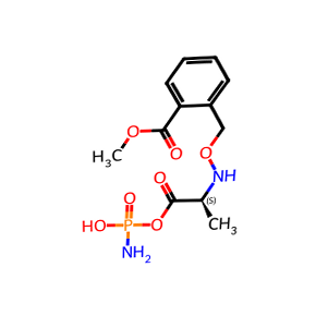 COC(=O)c1ccccc1CON[C@@H](C)C(=O)OP(N)(=O)O